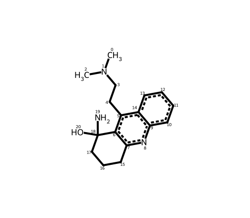 CN(C)CCc1c2c(nc3ccccc13)CCCC2(N)O